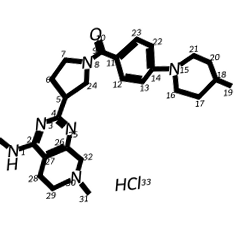 CNc1nc(C2CCN(C(=O)c3ccc(N4CCC(C)CC4)cc3)C2)nc2c1CCN(C)C2.Cl